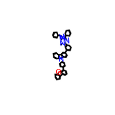 CN/C(=N\C(C1CC=CCC1)N(C)CC1C=CC=CC1)C1=CC(c2ccc3c(c2)C2C=CC=CC2N3c2ccc(-c3cccc4c3oc3ccccc34)cc2)=CCC1